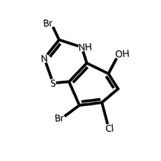 Oc1cc(Cl)c(Br)c2c1NC(Br)=NS2